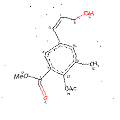 COC(=O)c1cc(/C=C\CO)cc(C)c1OC(C)=O